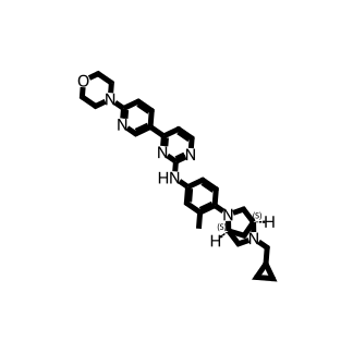 Cc1cc(Nc2nccc(-c3ccc(N4CCOCC4)nc3)n2)ccc1N1C[C@@H]2C[C@H]1CN2CC1CC1